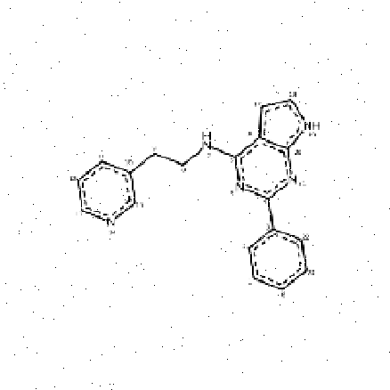 c1ccc(-c2nc(NCCc3cccnc3)c3cc[nH]c3n2)cc1